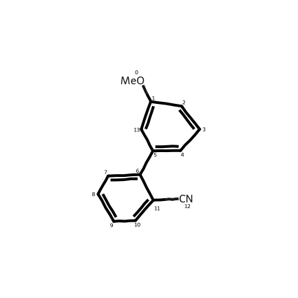 COc1cccc(-c2ccccc2C#N)c1